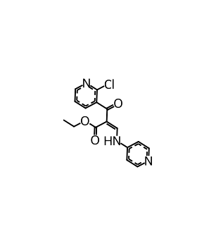 CCOC(=O)C(=CNc1ccncc1)C(=O)c1cccnc1Cl